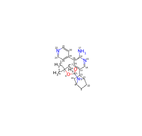 CC(C)(C)OC(=O)N1C2CCC1C(c1cnc(N)c(-c3ccncc3)c1)C2